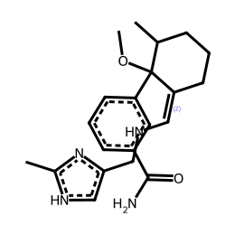 COC1(c2cccc(C(N)=O)c2)/C(=C\NCc2c[nH]c(C)n2)CCCC1C